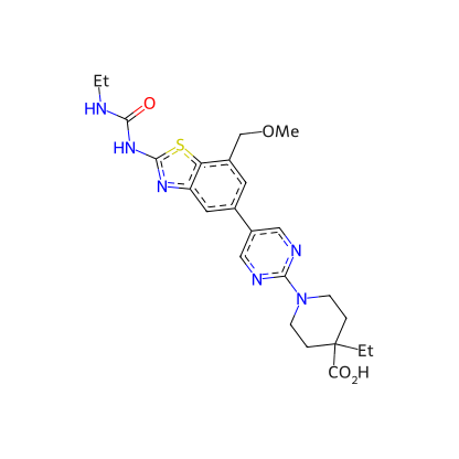 CCNC(=O)Nc1nc2cc(-c3cnc(N4CCC(CC)(C(=O)O)CC4)nc3)cc(COC)c2s1